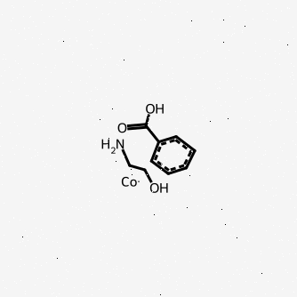 NCCO.O=C(O)c1ccccc1.[Co]